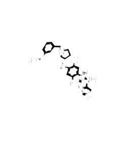 CC(C)Oc1cccc(CN2CC[C@H](N(C)c3cc(F)c(S(=O)(=O)Nc4cscn4)cc3Cl)C2)c1